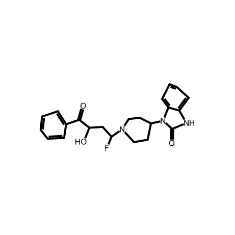 O=C(c1ccccc1)C(O)CC(F)N1CCC(n2c(=O)[nH]c3ccccc32)CC1